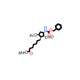 COC(=O)CCCCCC[C@@H]1[C@@H](C=O)[C@H](NC(=O)OCc2ccccc2)C[C@@H]1OC(C)=O